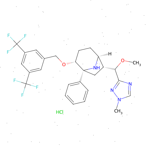 COC(c1ncn(C)n1)[C@@H]1C[C@]2(c3ccccc3)N[C@H]1CC[C@H]2OCc1cc(C(F)(F)F)cc(C(F)(F)F)c1.Cl